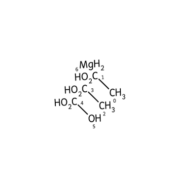 CC(=O)O.CC(=O)O.O=C(O)O.[MgH2]